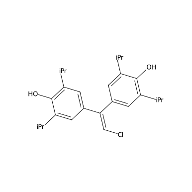 CC(C)c1cc(C(=CCl)c2cc(C(C)C)c(O)c(C(C)C)c2)cc(C(C)C)c1O